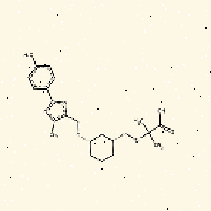 Cc1ccc(-c2nc(CO[C@H]3CCC[C@@H](COC(C)(C)C(=O)O)C3)c(C)o2)cc1